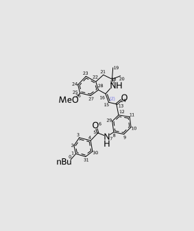 CCCCc1ccc(C(=O)Nc2cccc(C(=O)/C=C3\NC(C)(C)Cc4ccc(OC)cc43)c2)cc1